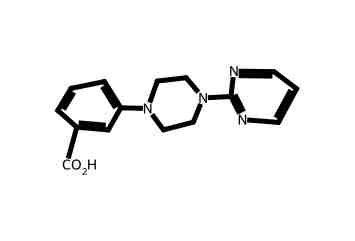 O=C(O)c1cccc(N2CCN(c3ncccn3)CC2)c1